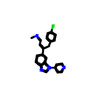 C/N=C\C=C(/Cc1ccc(Cl)cc1)c1ccc2ncn(-c3ccncc3)c2c1